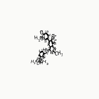 Cc1nc(NCc2cccc(C(F)(F)C(C)(C)O)c2F)c2cc(-c3ccc(=O)n(C)c3)c(Br)c(F)c2n1